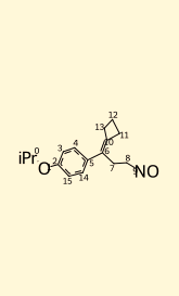 CC(C)Oc1ccc(C(CCN=O)=C2CCC2)cc1